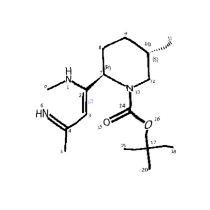 CN/C(=C\C(C)=N)[C@H]1CC[C@H](C)CN1C(=O)OC(C)(C)C